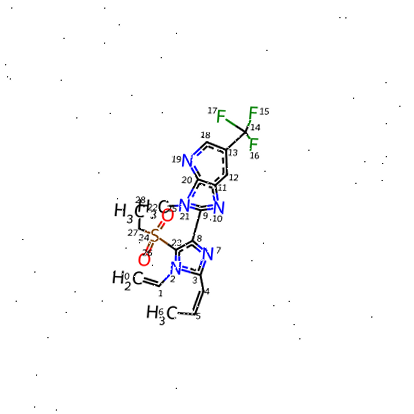 C=Cn1c(/C=C\C)nc(-c2nc3cc(C(F)(F)F)cnc3n2C)c1S(=O)(=O)CC